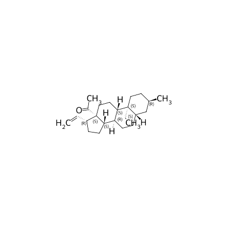 C=C[C@H]1CC[C@H]2[C@@H]3CC[C@H]4C[C@H](C)CC[C@]4(CC)[C@H]3CC[C@]12C(C)=O